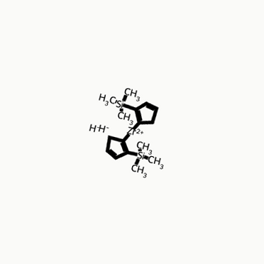 C[Si](C)(C)C1=[C]([Zr+2][C]2=C([Si](C)(C)C)C=CC2)CC=C1.[H-].[H-]